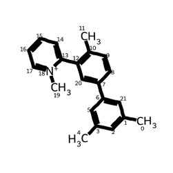 Cc1cc(C)cc(-c2ccc(C)c(-c3cccc[n+]3C)c2)c1